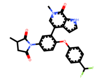 CC1CC(=O)N(c2ccc(Oc3ccc(C(F)F)cc3)c(-c3cn(C)c(=O)c4[nH]ccc34)c2)C1=O